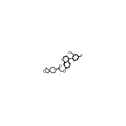 C[C@@H](Oc1ccc2c(-c3ccc(F)cc3Cl)ccnc2c1)C(=O)N1CCC2(CC1)COC2